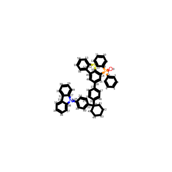 O=P(c1ccccc1)(c1ccccc1)c1cc(-c2ccc(C3(c4ccc(-n5c6ccccc6c6ccccc65)cc4)CCCCC3)cc2)cc2c1sc1ccccc12